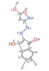 COc1cc(N=NC2=C(O)c3cc(C)c(C)cc3C2=O)no1